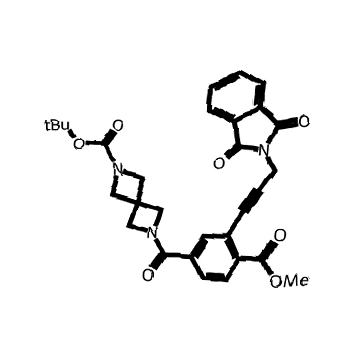 COC(=O)c1ccc(C(=O)N2CC3(CN(C(=O)OC(C)(C)C)C3)C2)cc1C#CCN1C(=O)c2ccccc2C1=O